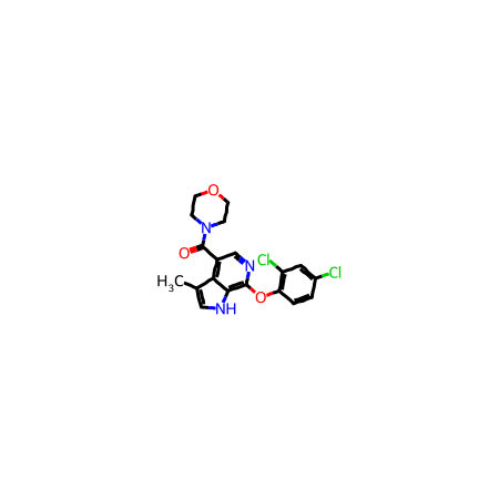 Cc1c[nH]c2c(Oc3ccc(Cl)cc3Cl)ncc(C(=O)N3CCOCC3)c12